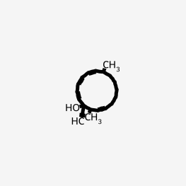 C#CC1(O)\C=C/C=C\C=C/C(C)CCCCC/C=C\C1C